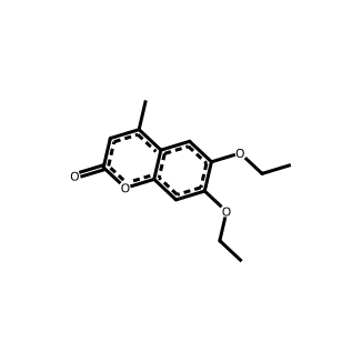 CCOc1cc2oc(=O)cc(C)c2cc1OCC